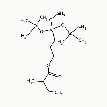 CCC(C)C(=O)OCCC[Si](O[SiH3])(O[Si](C)(C)C)O[Si](C)(C)C